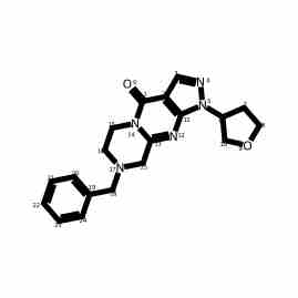 O=c1c2cnn(C3CCOC3)c2nc2n1CCN(Cc1ccccc1)C2